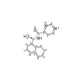 C[C@@H](NC(=O)c1ccncn1)c1cccc2ccccc12